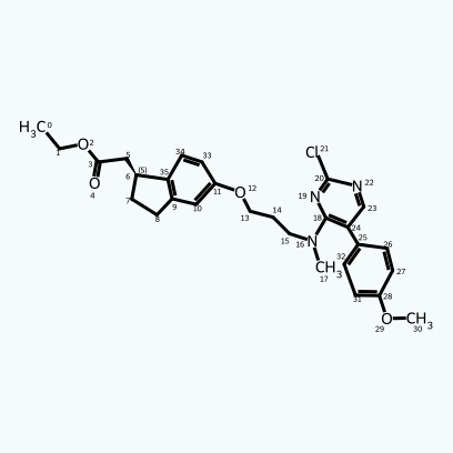 CCOC(=O)C[C@@H]1CCc2cc(OCCCN(C)c3nc(Cl)ncc3-c3ccc(OC)cc3)ccc21